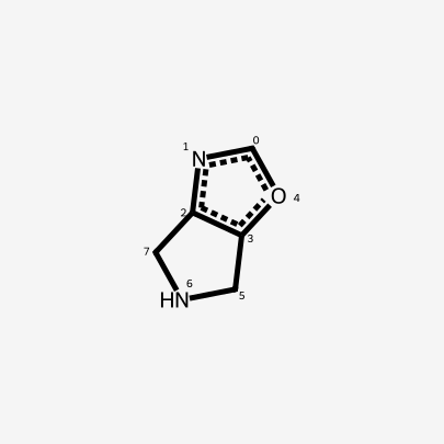 c1nc2c(o1)CNC2